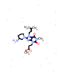 COC(=O)CCn1c(=O)n(C)c(=O)c2c1nc(N1CCCC(N)C1)n2CC=C(C)C